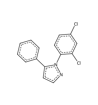 Clc1ccc(-n2nccc2-c2ccccc2)c(Cl)c1